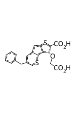 O=C(O)COc1c(C(=O)O)sc2cc3cc(Cc4ccccc4)csc-3c12